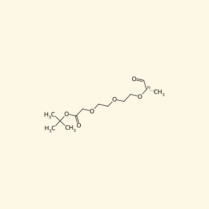 C[C@@H](C=O)OCCOCCOCC(=O)OC(C)(C)C